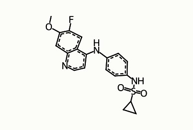 COc1cc2nccc(Nc3ccc(NS(=O)(=O)C4CC4)cc3)c2cc1F